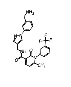 Cc1ccc(C(=O)NCc2cnn(-c3cccc(CN)c3)c2)c(=O)n1-c1cccc(C(F)(F)F)c1